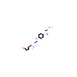 CCN(CCNN(C)C(=O)c1ccc([N+](=O)[O-])o1)c1c(F)cc(N2C[C@H](CNC(C)=O)OC2=O)cc1F